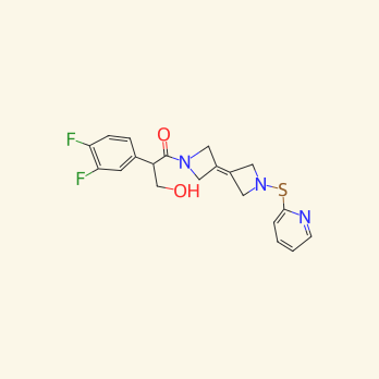 O=C(C(CO)c1ccc(F)c(F)c1)N1CC(=C2CN(Sc3ccccn3)C2)C1